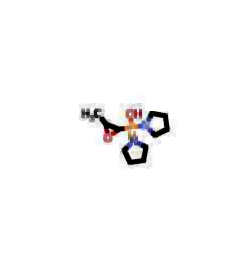 CC1OC1[PH](O)(N1CCCC1)N1CCCC1